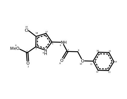 COC(=O)c1[nH]c(NC(=O)COc2ccccc2)cc1Cl